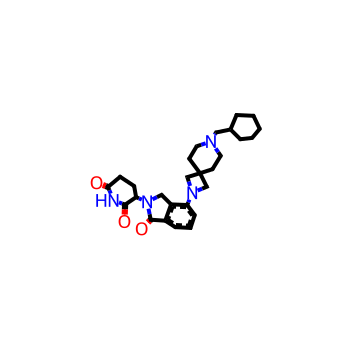 O=C1CCC(N2Cc3c(cccc3N3CC4(CCN(CC5CCCCC5)CC4)C3)C2=O)C(=O)N1